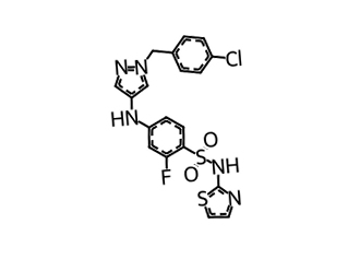 O=S(=O)(Nc1nccs1)c1ccc(Nc2cnn(Cc3ccc(Cl)cc3)c2)cc1F